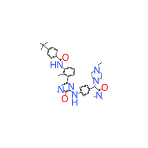 CCN1CCN(C(C(=O)N(C)C)c2ccc(Nc3nc(-c4cccc(NC(=O)c5ccc(C(C)(C)C)cc5)c4C)cn(C)c3=O)cc2)CC1